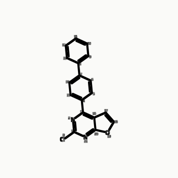 Clc1nc(-c2ccc(-c3ccccc3)cc2)c2ccoc2n1